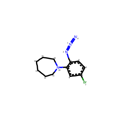 [N-]=[N+]=Nc1ccc(Br)cc1N1CCCCCC1